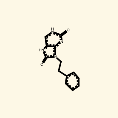 O=c1nc2c(c[nH]1)[nH]c(=O)n2CCc1ccccc1